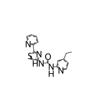 CCc1ccnc(NC(=O)Nc2csc(-c3ccccn3)n2)c1